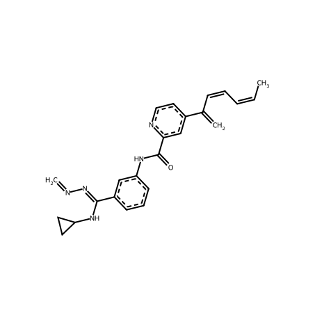 C=N/N=C(\NC1CC1)c1cccc(NC(=O)c2cc(C(=C)/C=C\C=C/C)ccn2)c1